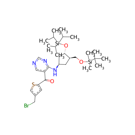 CC(C)[Si](O[C@H]1C[C@H](Nc2ncncc2C(=O)c2cc(CBr)cs2)C[C@@H]1CO[Si](C)(C)C(C)(C)C)(C(C)C)C(C)C